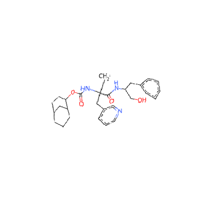 CC(Cc1cccnc1)(NC(=O)OC1CCC2CCCC1C2)C(=O)NC(CO)Cc1ccccc1.[CH2]